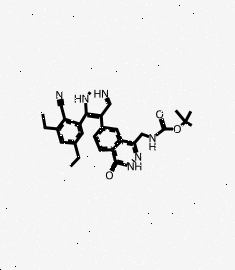 CCc1cc(CC)c(C#N)c(/C(NC)=C(/C=N)c2ccc3c(=O)[nH]nc(CNC(=O)OC(C)(C)C)c3c2)c1